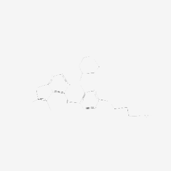 COCCCOc1ccc(Nc2ncnc3sc(C(=O)O)c(C)c23)c(OC2CCOCC2)n1